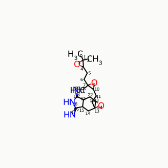 CC1(C)OC1CCC1(C)OC1CCC12CC3C(=N)NC(=N)C3CC1O2